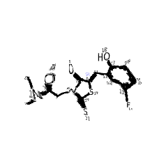 CN(C)C(=O)CN1C(=O)/C(=C/c2cc(F)ccc2O)SC1=S